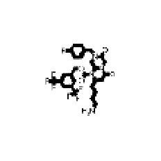 NCCCCC1CC(=O)N2CC(=O)N(Cc3ccc(F)cc3)CC2N1C(=O)OCc1cc(C(F)(F)F)cc(C(F)(F)F)c1